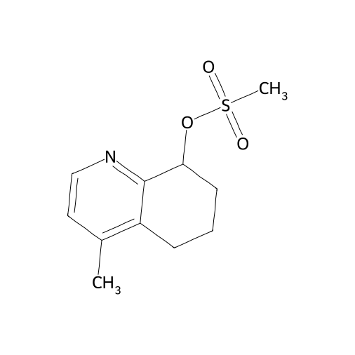 Cc1ccnc2c1CCCC2OS(C)(=O)=O